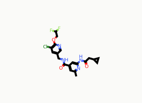 Cc1cc(C(=O)NCc2cnc(OCC(F)F)c(Cl)c2)cc(NC(=O)CC2CC2)n1